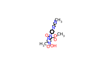 CCOC(=O)c1c2n(c(=O)n1-c1ccc(N3CC4(CN(C)C4)C3)cc1)CC(C)N(C(=O)O)C2